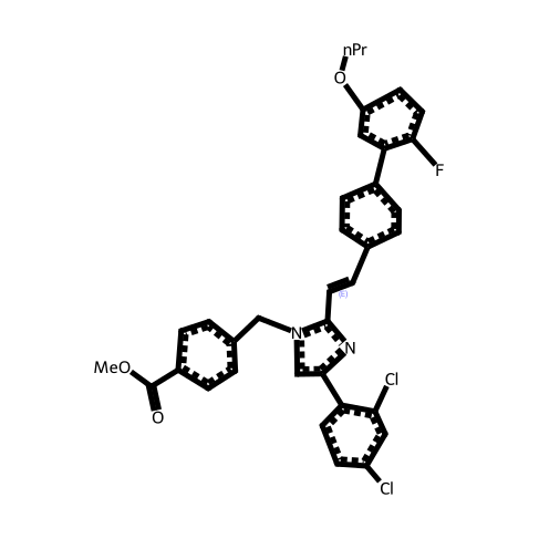 CCCOc1ccc(F)c(-c2ccc(/C=C/c3nc(-c4ccc(Cl)cc4Cl)cn3Cc3ccc(C(=O)OC)cc3)cc2)c1